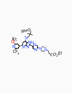 CCOC(=O)CCN1[C@H](C)CN(c2cnc(-c3nc4nc(-c5cc(OCC)nc(C(F)(F)F)c5)cc(N(C)CC(C)(C)COC)c4[nH]3)cn2)C[C@@H]1C